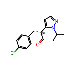 CC(C)n1nccc1[C@H](C=O)Cc1ccc(Cl)cc1